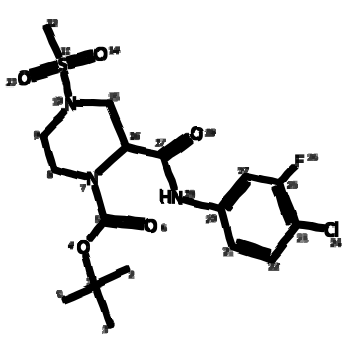 CC(C)(C)OC(=O)N1CCN(S(C)(=O)=O)CC1C(=O)Nc1ccc(Cl)c(F)c1